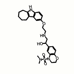 CN(C)S(=O)(=O)N1CCOc2ccc(C(O)CNCCOc3ccc4[nH]c5c(c4c3)CCCCC5)cc21